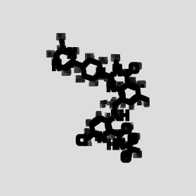 Cc1cc([C@@H](C)Nc2ccc(Cl)nc2C(=O)NS(C)(=O)=O)c2nc(N3CCC(c4cncc(C)n4)CC3)n(C)c(=O)c2c1